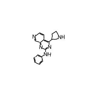 c1ccc(Nc2nc(C3CCNC3)c3ccncc3n2)cc1